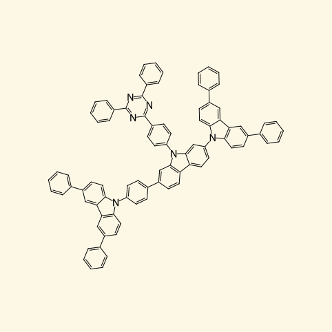 c1ccc(-c2ccc3c(c2)c2cc(-c4ccccc4)ccc2n3-c2ccc(-c3ccc4c5ccc(-n6c7ccc(-c8ccccc8)cc7c7cc(-c8ccccc8)ccc76)cc5n(-c5ccc(-c6nc(-c7ccccc7)nc(-c7ccccc7)n6)cc5)c4c3)cc2)cc1